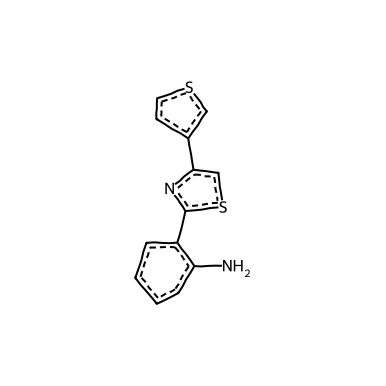 Nc1ccccc1-c1nc(-c2ccsc2)cs1